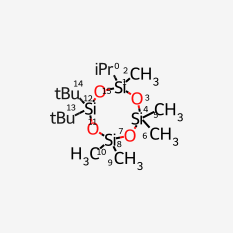 CC(C)[Si]1(C)O[Si](C)(C)O[Si](C)(C)O[Si](C(C)(C)C)(C(C)(C)C)O1